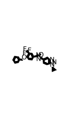 FC(F)(F)c1cc(-c2noc(-c3ccc4c(c3)nnn4C3CC3)n2)ccc1OCc1ccccc1